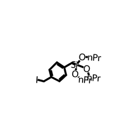 CCCO[Si](Cc1ccc(CI)cc1)(OCCC)OCCC